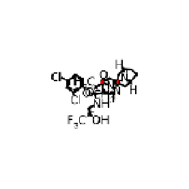 CC(C)(Oc1ccc(Cl)cc1Cl)C(=O)N[C@H]1C[C@H]2CC[C@@H](C1)N2c1ccc(C(=O)NC[C@H](O)C(F)(F)F)cn1